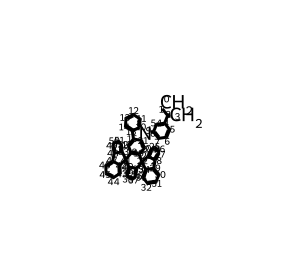 C=CC(=C)c1cccc(-n2c3ccccc3c3cc4c(cc32)C2(c3ccccc3-c3ccccc32)c2ccccc2C42c3ccccc3-c3ccccc32)c1